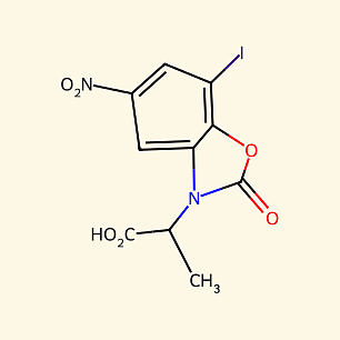 CC(C(=O)O)n1c(=O)oc2c(I)cc([N+](=O)[O-])cc21